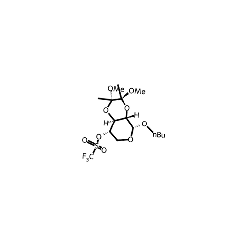 CCCCO[C@@H]1OC[C@H](OS(=O)(=O)C(F)(F)F)[C@H]2O[C@](C)(OC)[C@@](C)(OC)O[C@H]12